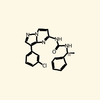 C[C@H](NC(=O)Nc1ccn2ncc(-c3cccc(Cl)c3)c2n1)c1ccccc1